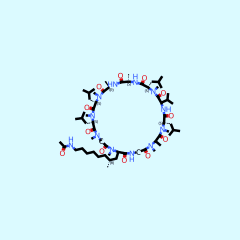 CC(=O)NCCCCCC[C@@H](C)CC1C(=O)NCC(=O)N(C)C(C)C(=O)N(C)[C@@H](CC(C)C)C(=O)NC(C(C)C)C(=O)N(C)[C@@H](CC(C)C)C(=O)N[C@@H](C)C(=O)N[C@H](C)C(=O)N(C)[C@@H](CC(C)C)C(=O)N(C)[C@@H](CC(C)C)C(=O)N(C)CC(=O)N1C